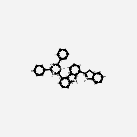 c1ccc(-c2nc(-c3ccccc3)nc(-c3cccc4oc5c(C6=Nc7ccccc7C6)cccc5c34)n2)cc1